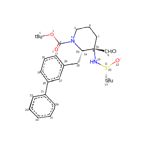 CC(C)(C)OC(=O)N1CCC[C@](C=O)(N[S@+]([O-])C(C)(C)C)[C@@H]1Cc1cccc(-c2ccccc2)c1